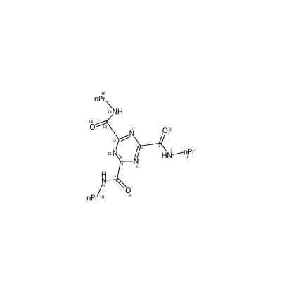 CCCNC(=O)c1nc(C(=O)NCCC)nc(C(=O)NCCC)n1